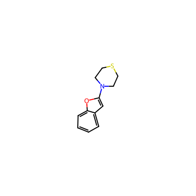 c1ccc2oc(N3CCSCC3)cc2c1